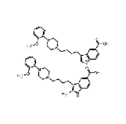 COc1ccccc1N1CCN(CCCCc2c(C)[nH]c3ccc(C(=O)O)cc23)CC1.COc1ccccc1N1CCN(CCCCc2c[nH]c3ccc(C(=O)O)cc23)CC1